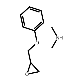 CNC.c1ccc(OCC2CO2)cc1